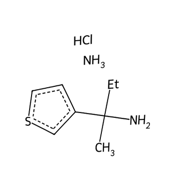 CCC(C)(N)c1ccsc1.Cl.N